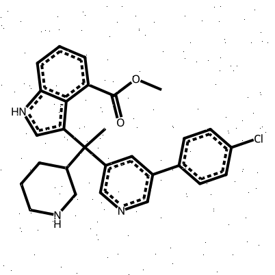 COC(=O)c1cccc2[nH]cc(C(C)(c3cncc(-c4ccc(Cl)cc4)c3)C3CCCNC3)c12